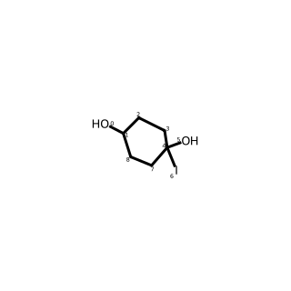 OC1CCC(O)(I)CC1